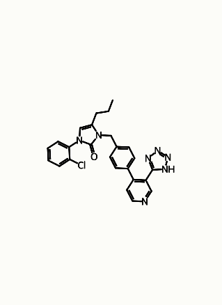 CCCc1cn(-c2ccccc2Cl)c(=O)n1Cc1ccc(-c2ccncc2-c2nnn[nH]2)cc1